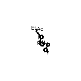 CCC(CC#Cc1cccc(-c2cnc3ccc(N4CCCC4c4cccc(F)c4)nn23)n1)C(C)=O